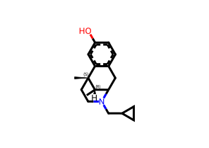 C[C@H]1C2Cc3ccc(O)cc3[C@@]1(C)CCN2CC1CC1